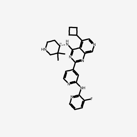 CC1(C)CNCC[C@@H]1Nc1nc(-c2ccnc(Nc3ncccc3F)c2)nc2cncc(C3CCC3)c12